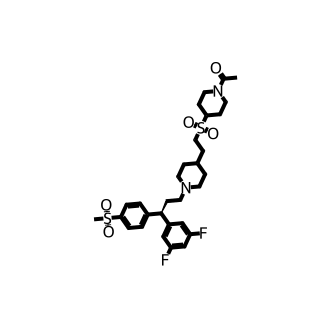 CC(=O)N1CCC(S(=O)(=O)CCC2CCN(CC[C@H](c3ccc(S(C)(=O)=O)cc3)c3cc(F)cc(F)c3)CC2)CC1